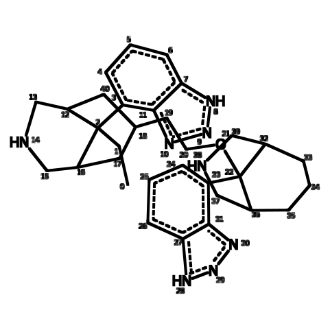 CCC1(c2cccc3[nH]nnc23)C2CNCC1CC(CCOC1(c3cccc4[nH]nnc34)C3CCCC1CNC3)C2